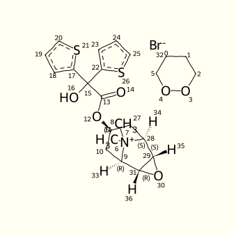 C1CCOOC1.C[N+]1(C)[C@@H]2C[C@@H](OC(=O)C(O)(c3cccs3)c3cccs3)C[C@H]1[C@@H]1O[C@@H]12.[Br-]